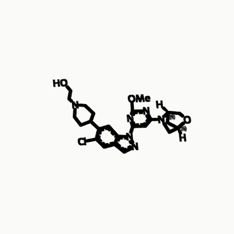 COc1nc(N2C[C@@H]3C[C@H]2CO3)cc(-n2ncc3cc(Cl)c(C4CCN(CCO)CC4)cc32)n1